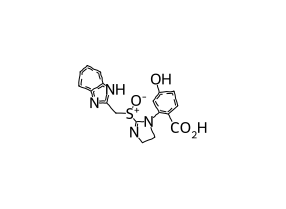 O=C(O)c1ccc(O)cc1N1CCN=C1[S+]([O-])Cc1nc2ccccc2[nH]1